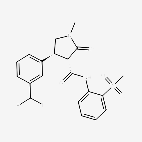 CN1C[C@H](c2cccc(C(F)F)c2)[C@@H](C(=O)Nc2ccccc2S(C)(=O)=O)C1=O